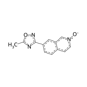 Cc1nc(-c2ccc3cc[n+]([O-])cc3c2)no1